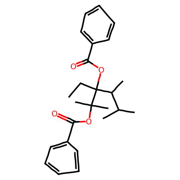 CCC(OC(=O)c1ccccc1)(C(C)C(C)C)C(C)(C)OC(=O)c1ccccc1